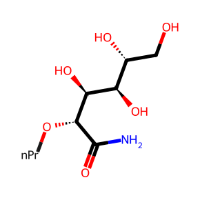 CCCO[C@@H](C(N)=O)[C@@H](O)[C@H](O)[C@H](O)CO